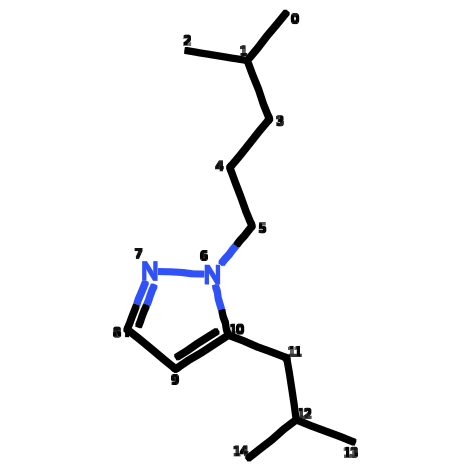 CC(C)CCCn1n[c]cc1CC(C)C